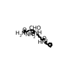 NC(=O)C(N)CSC(C=O)CC(=O)NCCCCCC(=O)NC(I)CC1C=CC=CC1